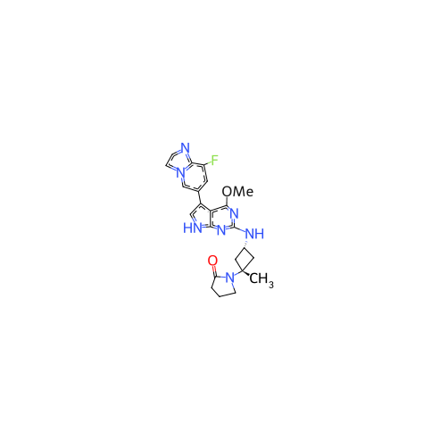 COc1nc(N[C@H]2C[C@@](C)(N3CCCC3=O)C2)nc2[nH]cc(-c3cc(F)c4nccn4c3)c12